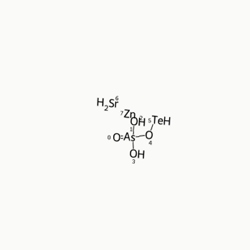 O=[As](O)(O)O[TeH].[SrH2].[Zn]